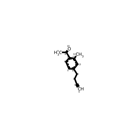 C#CCCc1ccc(C(C)=O)c(C)c1